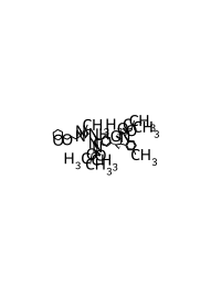 Cc1ccc2c(c1)[C@]1(C[C@H]1c1ccc3c(Nc4cn(CCOC5CCCCO5)nc4C)nn(C(=O)OC(C)(C)C)c3c1)C(=O)N2C(=O)OC(C)(C)C